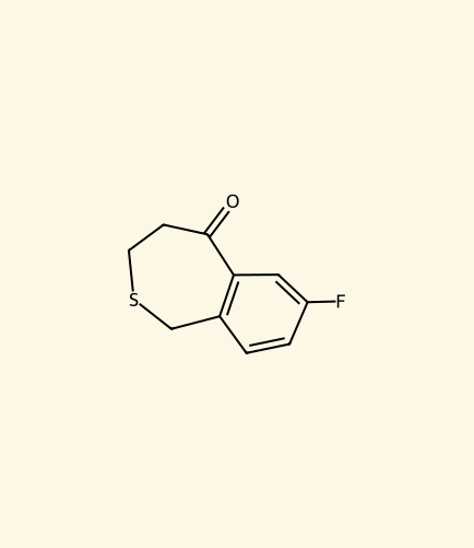 O=C1CCSCc2ccc(F)cc21